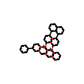 C1=CC(N(c2ccccc2)c2ccc(-c3cccc4cccc(-c5ccc(N(c6ccccc6)c6ccc(-c7ccccc7)cc6)cc5)c34)cc2)=CCC1